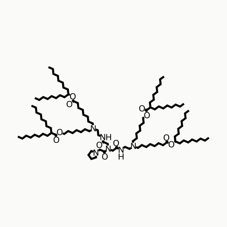 CCCCCCCCC(CCCCCCCC)OC(=O)CCCCCCCN(CCCCCCCOC(=O)C(CCCCCCCC)CCCCCCCC)CCNC(=O)CN(CC(=O)NCCN(CCCCCCCOC(=O)C(CCCCCCCC)CCCCCCCC)CCCCCCCC(=O)OC(CCCCCCCC)CCCCCCCC)C(=O)CN1CCCC1